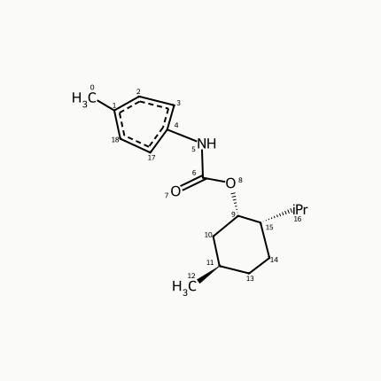 Cc1ccc(NC(=O)O[C@H]2C[C@H](C)CC[C@H]2C(C)C)cc1